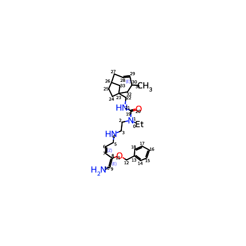 CCN(CCNC/C=C\C(=C/N)OCc1ccccc1)C(=O)NCC12CCC(C/C=C/C(C)C1)C2